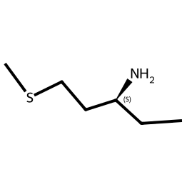 CC[C@H](N)CCSC